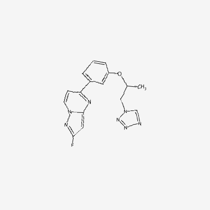 CC(Cn1cnnn1)Oc1cccc(-c2ccn3nc(F)cc3n2)c1